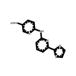 CCCCCCc1ccc(Nc2cccc(-c3nccs3)n2)nc1